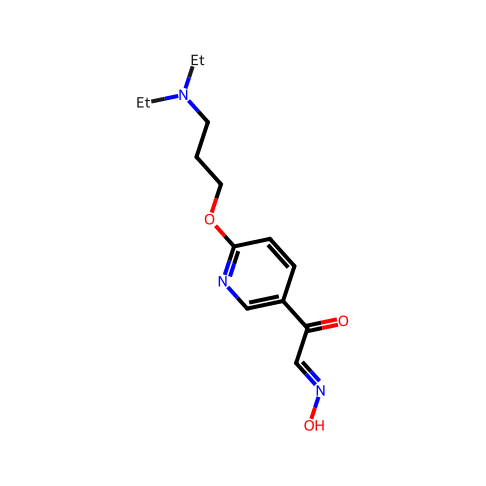 CCN(CC)CCCOc1ccc(C(=O)/C=N/O)cn1